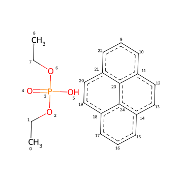 CCOP(=O)(O)OCC.c1cc2ccc3cccc4ccc(c1)c2c34